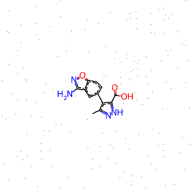 Cc1n[nH]c(C(=O)O)c1-c1ccc2onc(N)c2c1